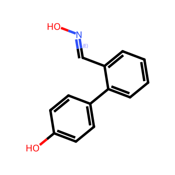 O/N=C/c1ccccc1-c1ccc(O)cc1